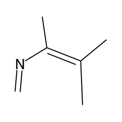 C=NC(C)=C(C)C